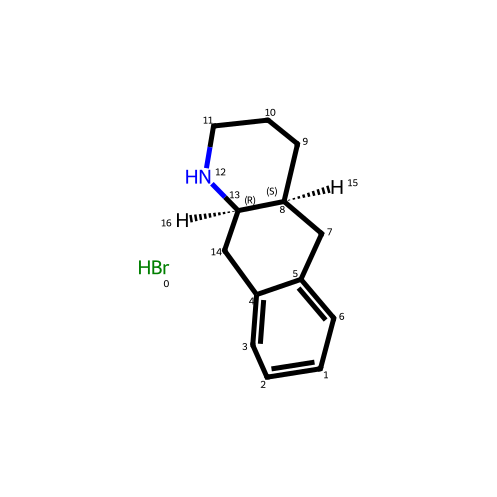 Br.c1ccc2c(c1)C[C@@H]1CCCN[C@@H]1C2